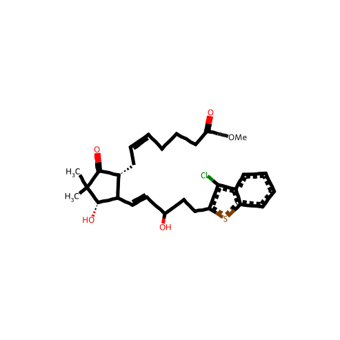 COC(=O)CCC/C=C\C[C@H]1C(=O)C(C)(C)[C@@H](O)C1/C=C/C(O)CCc1sc2ccccc2c1Cl